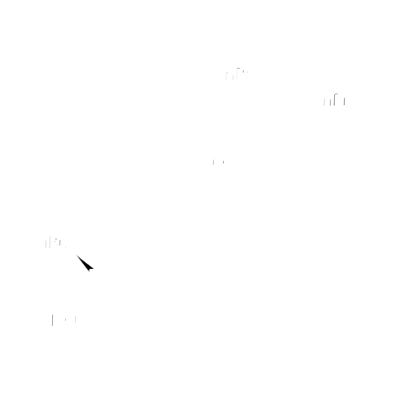 CCCC(CCC)COc1cccc([C@H](O)[C@H](C)CC)c1